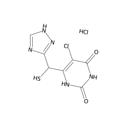 Cl.O=c1[nH]c(C(S)c2nc[nH]n2)c(Cl)c(=O)[nH]1